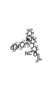 N#Cc1cc(-c2ccnc3c2cc(-c2ccc(N4CCOCC4)cc2)n3Sc2ccccc2)ccc1OCC1CC1